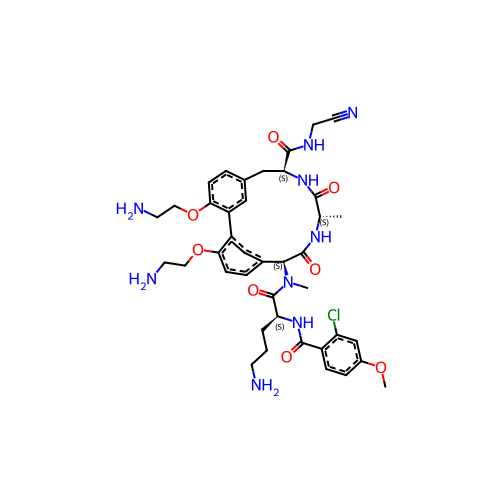 COc1ccc(C(=O)N[C@@H](CCCN)C(=O)N(C)[C@@H]2C(=O)N[C@@H](C)C(=O)N[C@H](C(=O)NCC#N)Cc3ccc(OCCN)c(c3)-c3cc2ccc3OCCN)c(Cl)c1